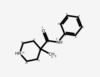 CC1(C(=O)Nc2ccccc2)CCNCC1